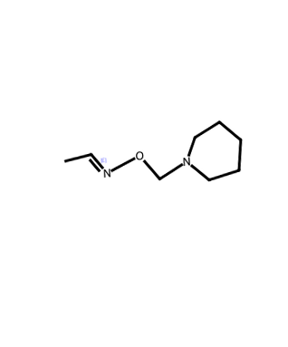 C/C=N/OCN1CCCCC1